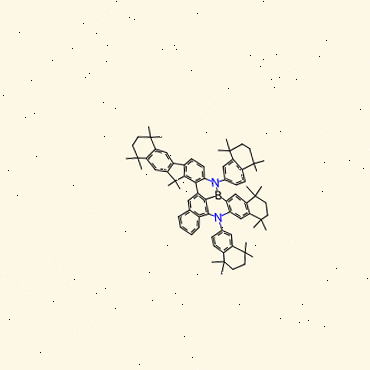 CC1(C)CCC(C)(C)c2cc(N3B4c5cc6c(cc5N(c5ccc7c(c5)C(C)(C)CCC7(C)C)c5c4c(cc4ccccc54)-c4c3ccc3c4C(C)(C)c4cc5c(cc4-3)C(C)(C)CCC5(C)C)C(C)(C)CCC6(C)C)ccc21